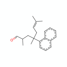 CC(C)=CCC(C)(CC(C)C=O)c1cccc2ccccc12